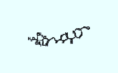 CC(C)(C)c1cnc(CSc2cnc(Nc3ccc(C=O)cn3)s2)o1